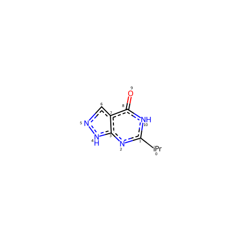 CC(C)c1nc2[nH]ncc2c(=O)[nH]1